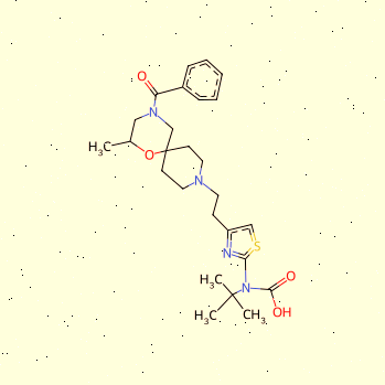 CC1CN(C(=O)c2ccccc2)CC2(CCN(CCc3csc(N(C(=O)O)C(C)(C)C)n3)CC2)O1